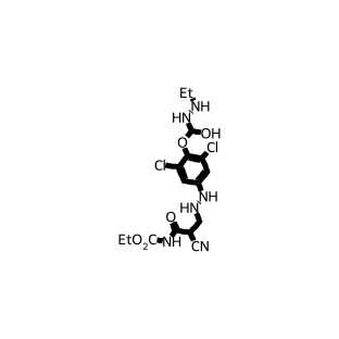 CCNNC(O)Oc1c(Cl)cc(NNCC(C#N)C(=O)NC(=O)OCC)cc1Cl